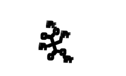 CC(C)CC(C(=O)OC(C)C)(C(=O)OC(C)C)C(C)C